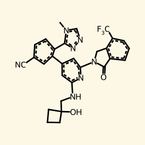 Cn1cnnc1-c1ccc(C#N)cc1-c1cc(NCC2(O)CCC2)nc(N2Cc3c(cccc3C(F)(F)F)C2=O)c1